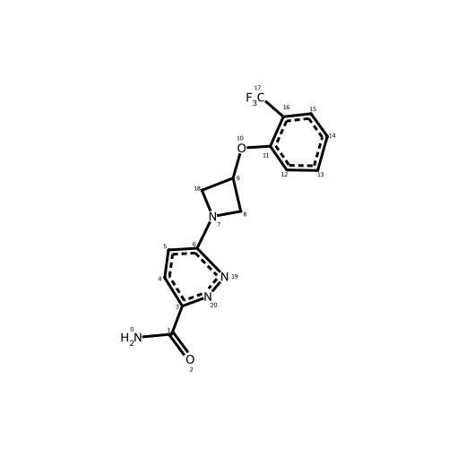 NC(=O)c1ccc(N2CC(Oc3ccccc3C(F)(F)F)C2)nn1